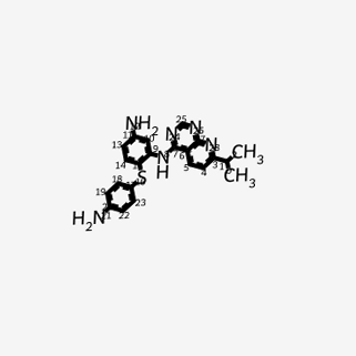 CC(C)c1ccc2c(Nc3cc(N)ccc3Sc3ccc(N)cc3)ncnc2n1